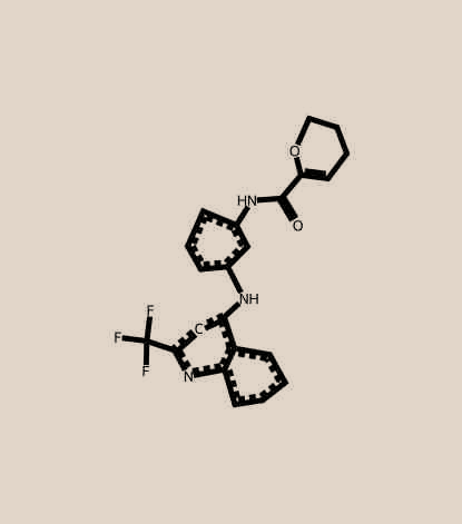 O=C(Nc1cccc(Nc2cc(C(F)(F)F)nc3ccccc23)c1)C1=CCCCO1